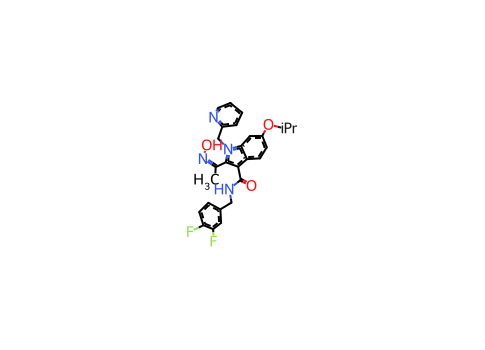 C/C(=N/O)c1c(C(=O)NCc2ccc(F)c(F)c2)c2ccc(OC(C)C)cc2n1Cc1ccccn1